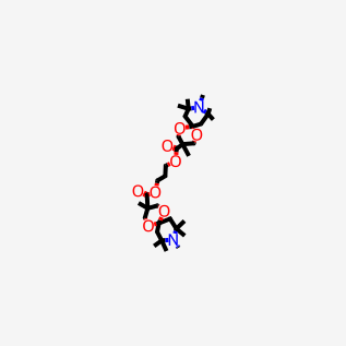 CN1C(C)(C)CC2(CC1(C)C)OCC(C)(C(=O)OCCCOC(=O)C1(C)COC3(CC(C)(C)N(C)C(C)(C)C3)OC1)CO2